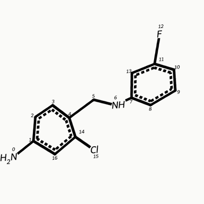 Nc1ccc(CNc2cccc(F)c2)c(Cl)c1